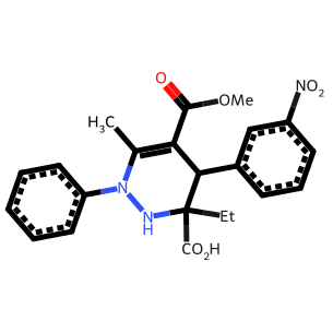 CCC1(C(=O)O)NN(c2ccccc2)C(C)=C(C(=O)OC)C1c1cccc([N+](=O)[O-])c1